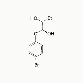 CC[C@@H](O)[C@@H](O)Oc1ccc(Br)cc1